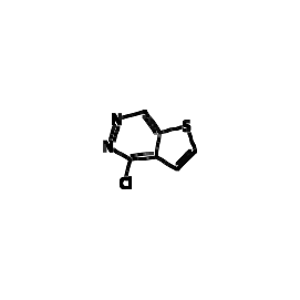 Clc1nncc2sccc12